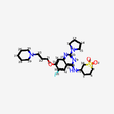 O=S1(=O)CCCC(Nc2nc(N3CCCC3)nc3cc(OCCCN4CCCCC4)c(F)cc23)C1